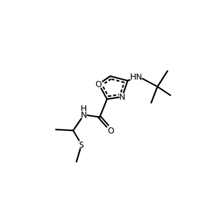 CSC(C)NC(=O)c1nc(NC(C)(C)C)co1